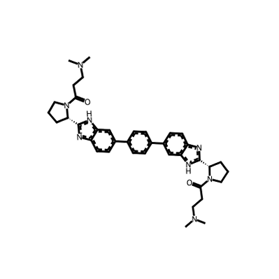 CN(C)CCC(=O)N1CCC[C@H]1c1nc2ccc(-c3ccc(-c4ccc5nc([C@@H]6CCCN6C(=O)CCN(C)C)[nH]c5c4)cc3)cc2[nH]1